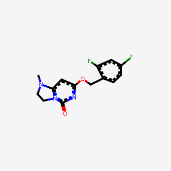 CN1CCn2c1cc(OCc1ccc(F)cc1F)nc2=O